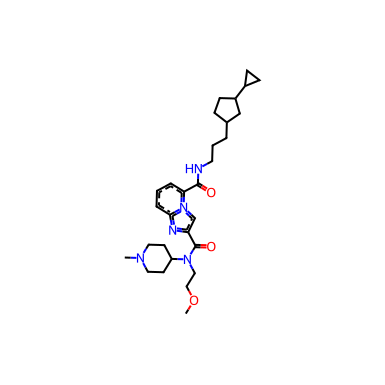 COCCN(C(=O)c1cn2c(C(=O)NCCCC3CCC(C4CC4)C3)cccc2n1)C1CCN(C)CC1